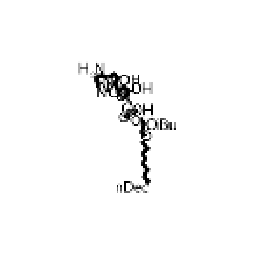 CCCCCCCCCCCCCCCCCCOC[C@H](COP(=O)(O)OC[C@H]1O[C@@](C#N)(c2ccc3c(N)ccnn23)[C@H](O)[C@@H]1O)OCC(C)C